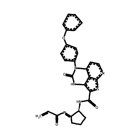 C=CC(=O)/N=C1\CCC[C@@H]1NC(=O)c1sc2nccc3c2c1NC(=O)N3c1ccc(Oc2ccccc2)cc1